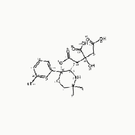 C[C@@H]1NC(C)(C)CO[C@@]1(OC(=O)CC(O)(CC(=O)O)C(=O)O)c1cccc(Cl)c1